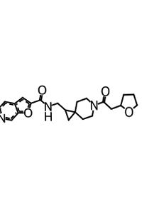 O=C(NCC1CC12CCN(C(=O)CC1CCCO1)CC2)c1cc2ccncc2o1